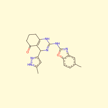 Cc1ccc2oc(NC3=NC(c4cc(C)[nH]n4)C4=C(CCCC4=O)N3)nc2c1